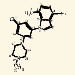 Cc1ccc(F)c2ccn(-c3cc(Cl)cc(N4CCN(C)CC4)c3)c12